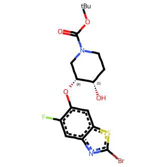 CC(C)(C)OC(=O)N1CC[C@H](O)[C@H](Oc2cc3sc(Br)nc3cc2F)C1